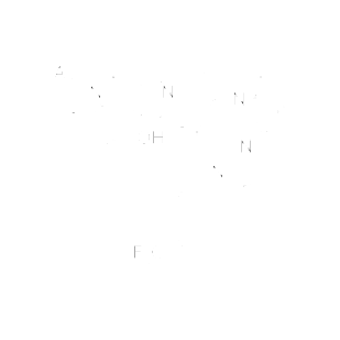 CC(=O)N1CCC(O)(c2cc3/c(=N/C(C)c4cccc(C(F)(F)F)c4C)nc(C)n(C)c3cn2)CC1(C)C